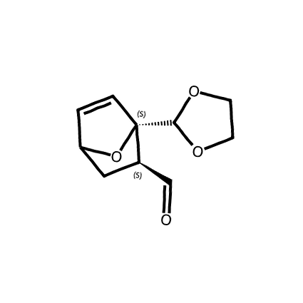 O=C[C@H]1CC2C=C[C@]1(C1OCCO1)O2